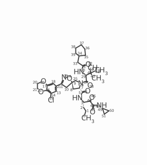 CCC[C@H](NC(=O)[C@@H]1C[C@]2(CC(c3cc(Cl)c4c(c3)OCCO4)=NO2)CN1C(=O)[C@@H](NC(=O)CC1CCCCC1)C(C)(C)C)C(=O)C(=O)NC1CC1